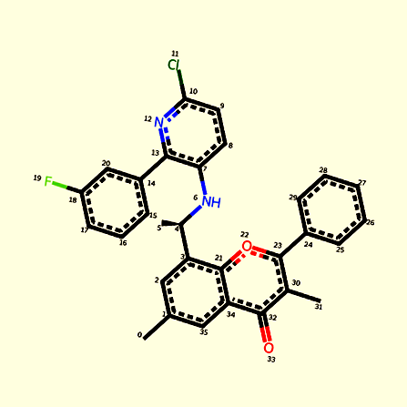 Cc1cc([C@@H](C)Nc2ccc(Cl)nc2-c2cccc(F)c2)c2oc(-c3ccccc3)c(C)c(=O)c2c1